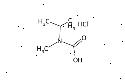 CC(C)N(C)C(=O)O.Cl